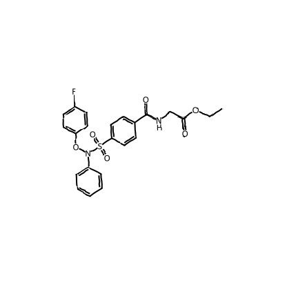 CCOC(=O)CNC(=O)c1ccc(S(=O)(=O)N(Oc2ccc(F)cc2)c2ccccc2)cc1